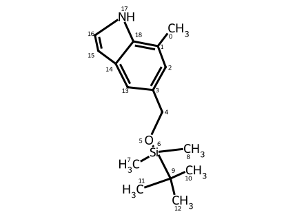 Cc1cc(CO[Si](C)(C)C(C)(C)C)cc2cc[nH]c12